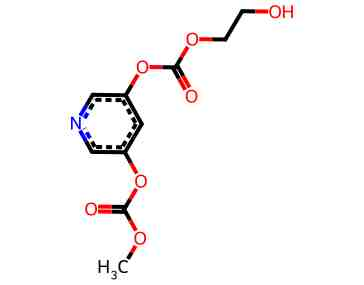 COC(=O)Oc1cncc(OC(=O)OCCO)c1